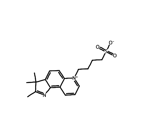 CC1=Nc2c(ccc3c2ccc[n+]3CCCCS(=O)(=O)[O-])C1(C)C